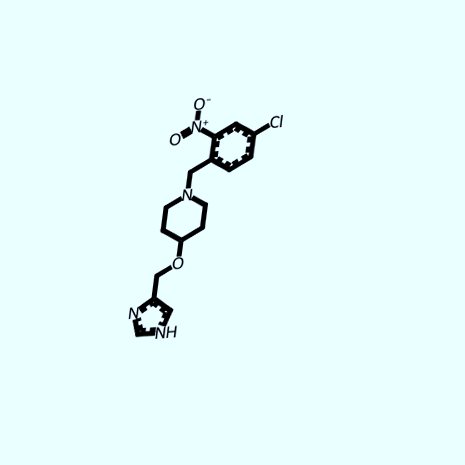 O=[N+]([O-])c1cc(Cl)ccc1CN1CCC(OCc2c[nH]cn2)CC1